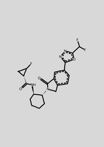 O=C(N[C@@H]1CCCC[C@H]1N1Cc2ccc(-c3nnc(C(F)F)o3)cc2C1=O)[C@@H]1CC1F